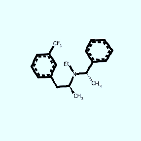 CCN([C@@H](C)Cc1cccc(C(F)(F)F)c1)[C@@H](C)c1ccccc1